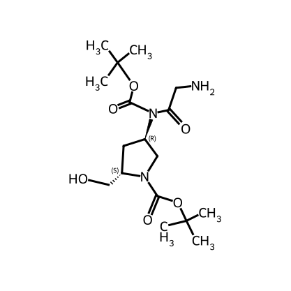 CC(C)(C)OC(=O)N1C[C@H](N(C(=O)CN)C(=O)OC(C)(C)C)C[C@H]1CO